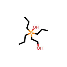 CCCP(O)(CCC)(CCC)CCO